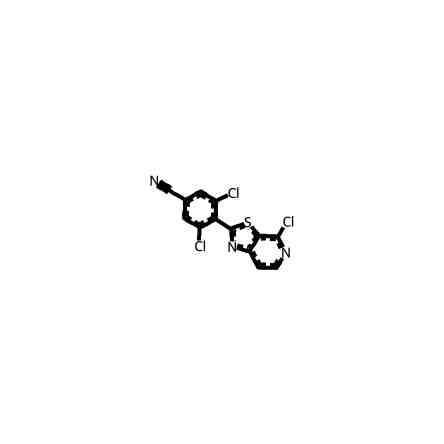 N#Cc1cc(Cl)c(-c2nc3ccnc(Cl)c3s2)c(Cl)c1